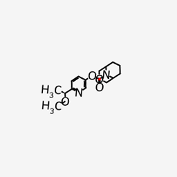 CO[C@@H](C)c1ccc(OC(=O)N2C3CCCC2COC3)cn1